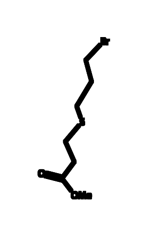 COC(=O)CCSCCCBr